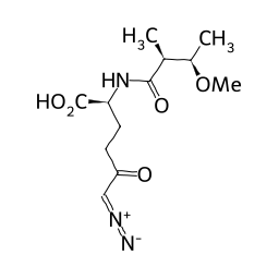 CO[C@H](C)[C@H](C)C(=O)N[C@@H](CCC(=O)C=[N+]=[N-])C(=O)O